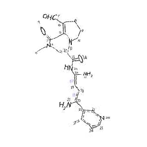 CN(C)C(=O)C1=C(C=O)CCCN1CC(=O)N/C(N)=C/C=C(\N)c1cccnc1